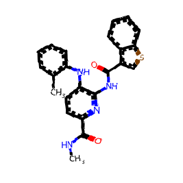 CNC(=O)c1ccc(Nc2ccccc2C)c(NC(=O)c2csc3ccccc23)n1